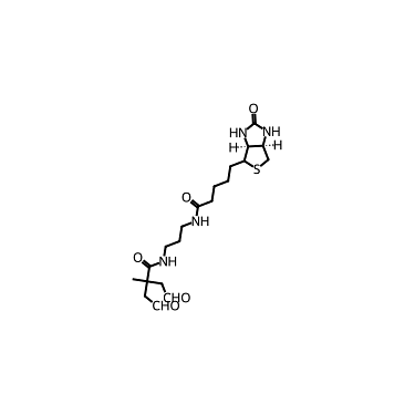 CC(CC=O)(CC=O)C(=O)NCCCNC(=O)CCCCC1SC[C@@H]2NC(=O)N[C@H]12